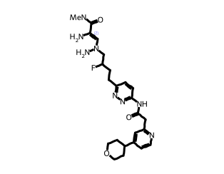 CNC(=O)/C(N)=C/N(N)CC(F)CCc1ccc(NC(=O)Cc2cc(C3CCOCC3)ccn2)nn1